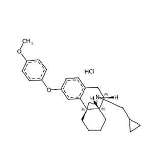 COc1ccc(Oc2ccc3c(c2)[C@@]24CCCC[C@H]2[C@@H](C3)N(CC2CC2)CC4)cc1.Cl